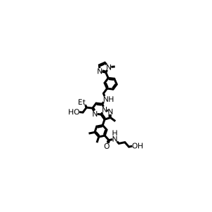 CCC(CO)c1cc(NCc2cccc(-c3nccn3C)c2)n2nc(C)c(-c3cc(C)c(C)c(C(=O)NCCCO)c3)c2n1